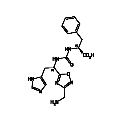 NCc1noc([C@H](Cc2cnc[nH]2)NC(=O)N[C@@H](Cc2ccccc2)C(=O)O)n1